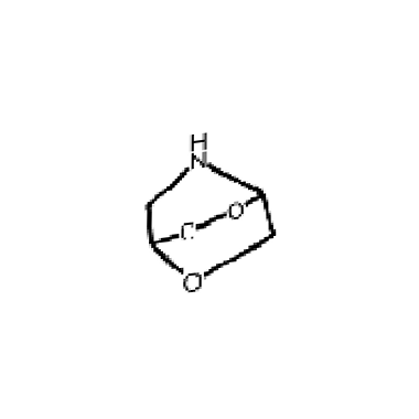 C1NC2COC1CO2